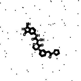 N=C1NC(=O)c2cc(NC(=O)[C@H](O)[C@H]3OCCN(c4cccc(CC(=O)N5CCCC5)c4)C3=O)ccc21